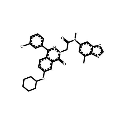 Cc1cc(N(C)C(=O)Cn2nc(-c3cccc(Cl)c3)c3ccc(OC4CCCCC4)cc3c2=O)cc2ocnc12